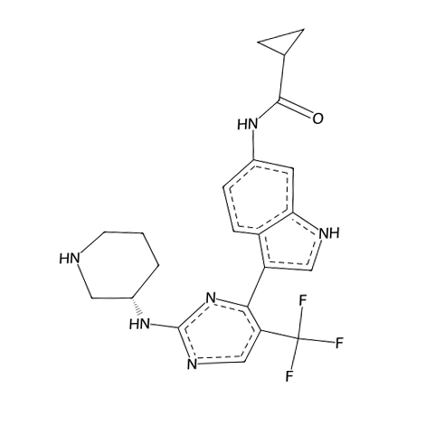 O=C(Nc1ccc2c(-c3nc(N[C@H]4CCCNC4)ncc3C(F)(F)F)c[nH]c2c1)C1CC1